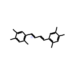 Cc1cc(C)c(C=C/C=C/c2cc(C)c(C)cc2C)cc1C